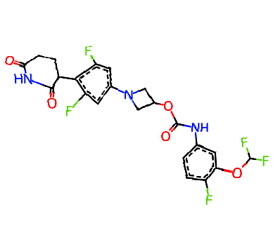 O=C1CCC(c2c(F)cc(N3CC(OC(=O)Nc4ccc(F)c(OC(F)F)c4)C3)cc2F)C(=O)N1